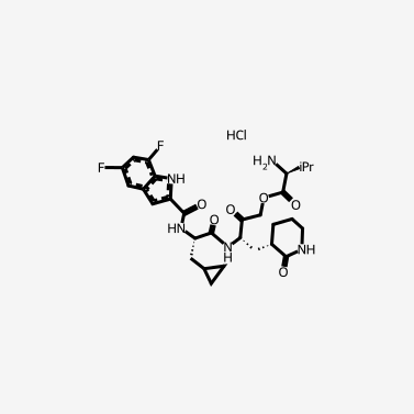 CC(C)[C@H](N)C(=O)OCC(=O)[C@H](C[C@@H]1CCCNC1=O)NC(=O)[C@H](CC1CC1)NC(=O)c1cc2cc(F)cc(F)c2[nH]1.Cl